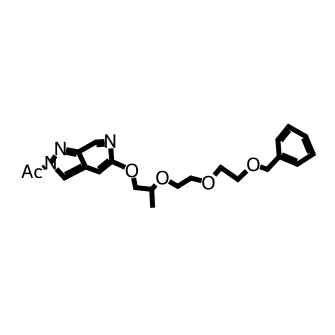 CC(=O)n1cc2cc(OCC(C)OCCOCCOCc3ccccc3)ncc2n1